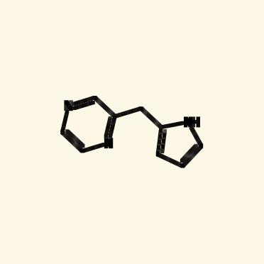 c1c[nH]c(Cc2cnccn2)c1